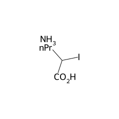 CCCC(I)C(=O)O.N